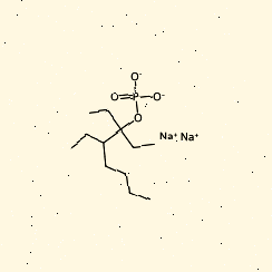 CCCCC(CC)C(CC)(CC)OP(=O)([O-])[O-].[Na+].[Na+]